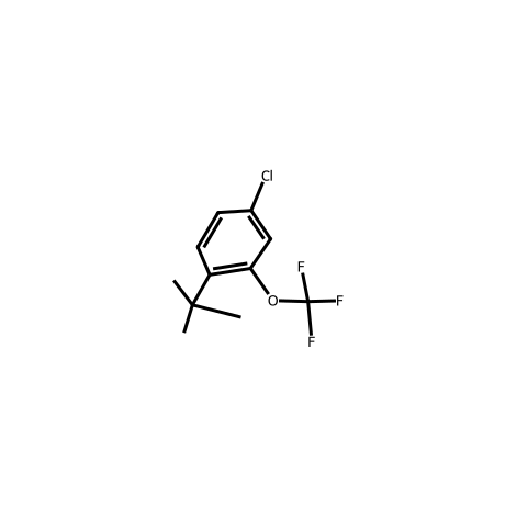 CC(C)(C)c1ccc(Cl)cc1OC(F)(F)F